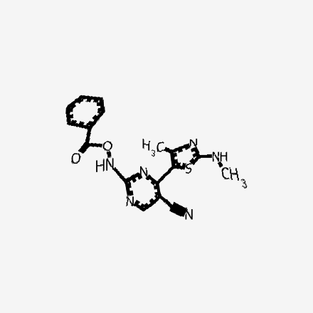 CNc1nc(C)c(-c2nc(NOC(=O)c3ccccc3)ncc2C#N)s1